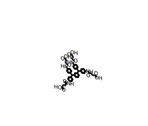 O=C(O)/C=C/C(=O)Nc1ccc(C(c2ccc(NC(=O)/C=C/C(=O)O)cc2)c2cccc(C(c3ccc(NC(=O)/C=C/C(=O)O)cc3)c3ccc(NC(=O)/C=C/C(=O)O)cc3)c2)cc1